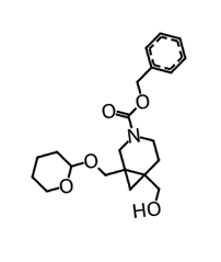 O=C(OCc1ccccc1)N1CCC2(CO)CC2(COC2CCCCO2)C1